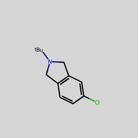 CC(C)(C)N1Cc2ccc(Cl)cc2C1